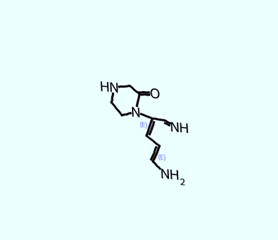 N=C/C(=C\C=C\N)N1CCNCC1=O